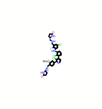 COc1cc(-c2nccc(-c3cccc(Nc4cc(Cl)cc(CNC[C@H]5CCC(=O)N5)c4F)c3Cl)c2Cl)ccc1CNC[C@@H]1CCC(=O)N1